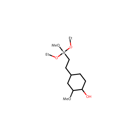 CCO[Si](CCC1CCC(O)C(OC)C1)(OC)OCC